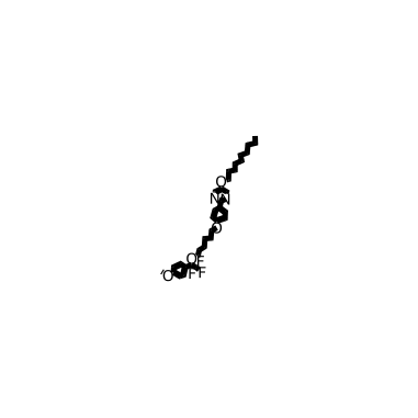 CCCCCCCCCCOc1cnc(-c2ccc(OCCCCCCOC(c3ccc(OC)cc3)C(F)(F)F)cc2)nc1